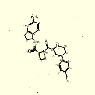 Nc1ccc2c(n1)CCC2NC(=O)[C@@H]1CCN1C(=O)C1CN(c2ccc(F)cc2)CCN1